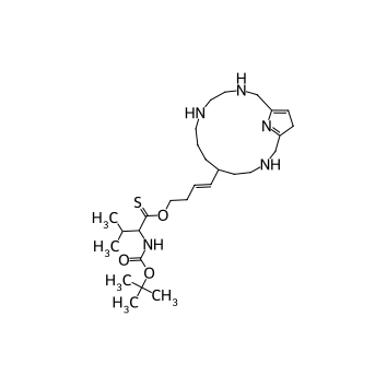 CC(C)C(NC(=O)OC(C)(C)C)C(=S)OCCC=CC1CCCNCCNCC2=CCC(=N2)CNCC1